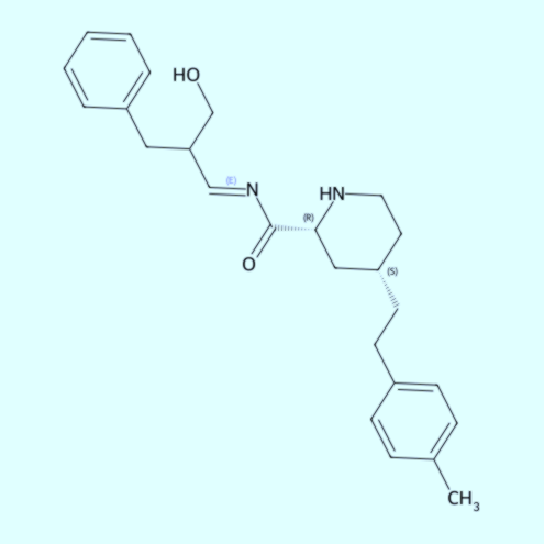 Cc1ccc(CC[C@H]2CCN[C@@H](C(=O)/N=C/C(CO)Cc3ccccc3)C2)cc1